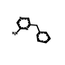 Nc1cncc(Cc2ccccc2)n1